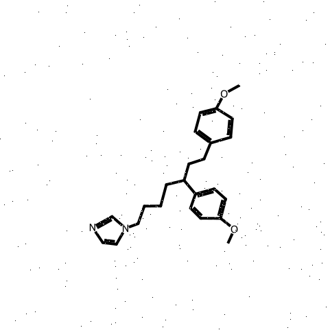 COc1ccc(CCC(CCCCn2ccnc2)c2ccc(OC)cc2)cc1